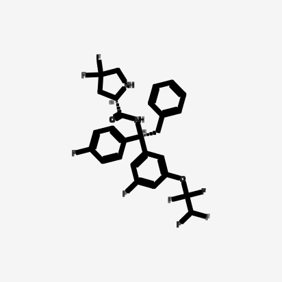 O=C(N[C@](Cc1ccccc1)(c1ccc(F)cc1)c1cc(F)cc(OC(F)(F)C(F)F)c1)[C@@H]1CC(F)(F)CN1